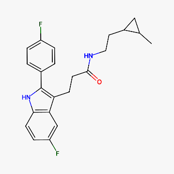 CC1CC1CCNC(=O)CCc1c(-c2ccc(F)cc2)[nH]c2ccc(F)cc12